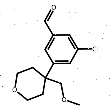 COCC1(c2cc(Cl)cc(C=O)c2)CCOCC1